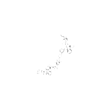 C=CCn1c(C)cc(C(=O)COC(=O)c2ccccc2Oc2cccc(COCCn3c(C)cc(C(=O)COC(=O)c4c(C)c(CC)nc5ccccc45)c3C)c2)c1C